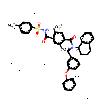 Cc1ccc(S(=O)(=O)NC(=O)c2cc(C(=O)O)c(C(=O)N(Cc3cccc(Oc4ccccc4)c3)[C@H]3CCCc4ccccc43)cc2C(=O)O)cc1